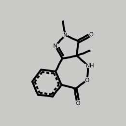 CN1N=C2c3ccccc3C(=O)ONC2(C)C1=O